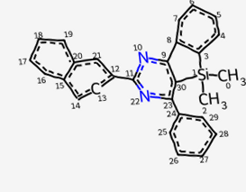 C[Si]1(C)c2ccccc2-c2nc(-c3ccc4ccccc4c3)nc(-c3ccccc3)c21